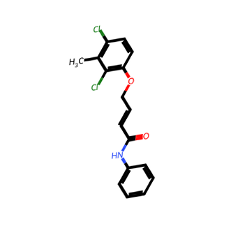 Cc1c(Cl)ccc(OCC=CC(=O)Nc2ccccc2)c1Cl